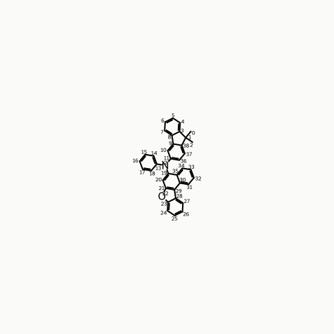 CC1(C)c2ccccc2-c2cc(N(c3ccccc3)c3cc4oc5ccccc5c4c4ccccc34)ccc21